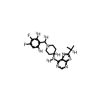 [2H]c1cc(F)c(F)c([2H])c1C([2H])N1CCC([2H])(N([2H])c2ncnc3sc(C([2H])(C)C)nc23)CC1